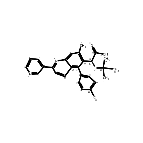 Cc1cc2nc(-c3cccnc3)ccc2c(-c2ccc(Cl)cc2)c1[C@H](OC(C)(C)C)C(=O)O